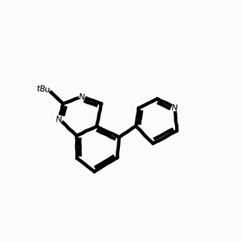 CC(C)(C)c1ncc2c(-c3ccncc3)cccc2n1